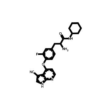 N#Cc1c[nH]c2nccc(Oc3ccc(CC(N)C(=O)NC4CCCCC4)cc3F)c12